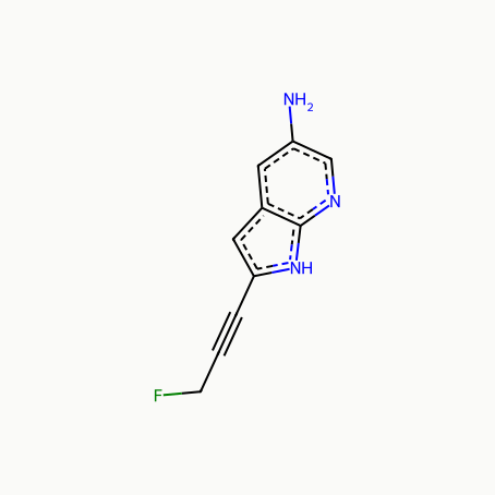 Nc1cnc2[nH]c(C#CCF)cc2c1